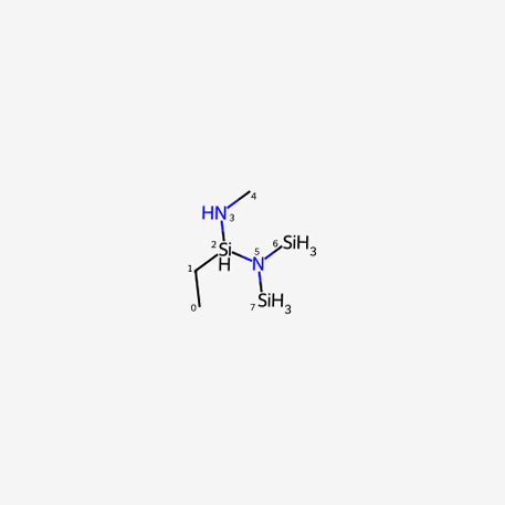 CC[SiH](NC)N([SiH3])[SiH3]